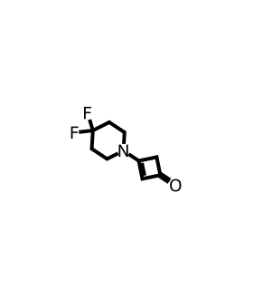 O=C1C=C(N2CCC(F)(F)CC2)C1